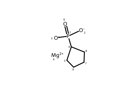 O=P([O-])([O-])C1CCCC1.[Mg+2]